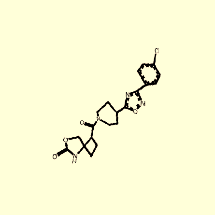 O=C1NC2(CCC2C(=O)N2CCC(c3nc(-c4ccc(Cl)cc4)no3)CC2)CO1